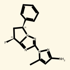 Cc1cc(N)nn1-c1nc2n(n1)[C@H](c1ccccc1)C[C@@H]2F